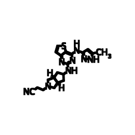 Cc1cc(Nc2nc(NC3C[C@@H]4CN(CCC#N)C[C@@H]4C3)nc3ccsc23)n[nH]1